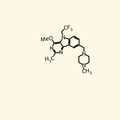 COc1nc(C)nc2c3cc(CN4CCN(C)CC4)ccc3n(CC(F)(F)F)c12